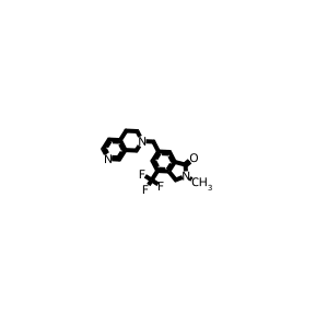 CN1Cc2c(cc(CN3CCc4ccncc4C3)cc2C(F)(F)F)C1=O